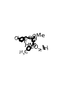 COc1ncc(C(=O)N[C@]2(C(=O)O)CC[C@@H](C)CC2)cc1OCCc1cc(Cl)ccc1F